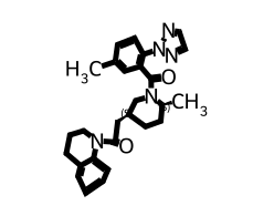 Cc1ccc(-n2nccn2)c(C(=O)N2C[C@H](CC(=O)N3CCCc4ccccc43)CC[C@@H]2C)c1